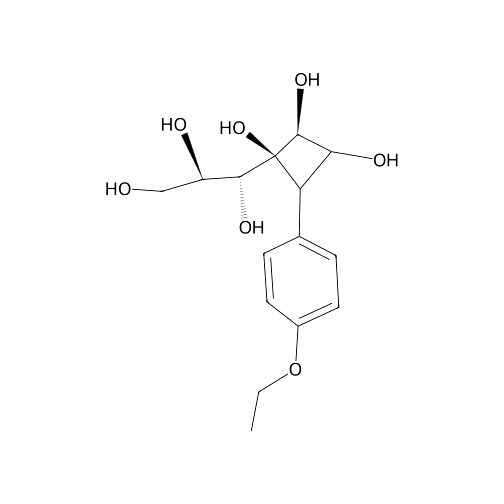 CCOc1ccc(C2C(O)[C@H](O)[C@@]2(O)[C@H](O)[C@H](O)CO)cc1